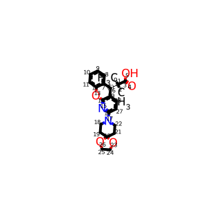 CC(C)(C(=O)O)[C@H]1c2ccccc2Oc2nc(N3CCC4(CC3)OCCO4)ccc21